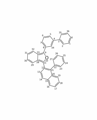 c1ccc(-c2cccc(-c3oc(-c4ccc5ccccc5c4-c4ccccc4)c4ccccc34)c2)cc1